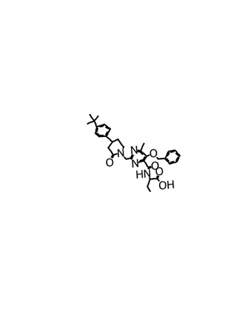 CCC(NC(=O)c1nc(CN2CCC(c3ccc(C(C)(C)C)cc3)CC2=O)nc(C)c1OCc1ccccc1)C(=O)O